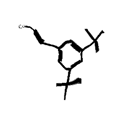 CC(C)(C)c1cc(C#[C][Cu])cc(C(C)(C)C)c1